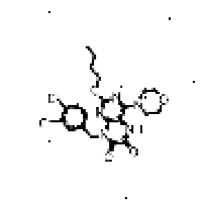 CCCCOc1nc(N2CCOCC2)c2[nH]c(=O)c(=O)n(Cc3ccc(Cl)c(Cl)c3)c2n1